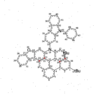 CC(C)(C)c1cc(-c2cccc3cccc(-c4ccccc4N(c4ccc5c(c4)oc4ccccc45)c4ccc5c6ccccc6n(-c6ccccc6)c5c4)c23)cc(C(C)(C)C)c1